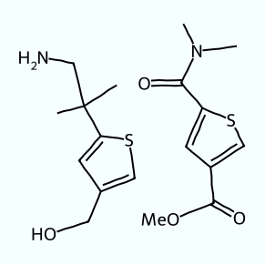 CC(C)(CN)c1cc(CO)cs1.COC(=O)c1csc(C(=O)N(C)C)c1